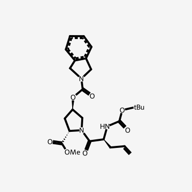 C=CC[C@H](NC(=O)OC(C)(C)C)C(=O)N1C[C@H](OC(=O)N2Cc3ccccc3C2)C[C@H]1C(=O)OC